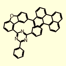 c1ccc(-c2nc(-c3ccccc3)nc(-c3cccc4oc5ccc(-c6ccc7c8cccc9cccc(c%10cccc6c%107)c98)cc5c34)n2)cc1